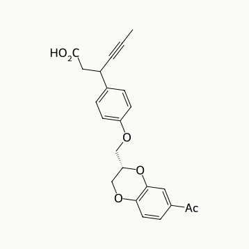 CC#CC(CC(=O)O)c1ccc(OC[C@H]2COc3ccc(C(C)=O)cc3O2)cc1